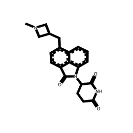 CN1CC(Cc2ccc3c4c(cccc24)N(C2CCC(=O)NC2=O)C3=O)C1